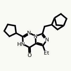 CCc1nc(CC2CC3CCC2C3)n2nc(C3CCCC3)[nH]c(=O)c12